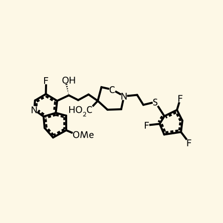 COc1ccc2ncc(F)c([C@H](O)CCC3(C(=O)O)CCN(CCSc4c(F)cc(F)cc4F)CC3)c2c1